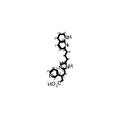 O=C(O)CC(Cc1nnc(CCCc2ccc3c(n2)NCCC3)[nH]1)c1cccnc1